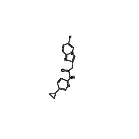 O=C(Cc1cn2cc(F)ccc2n1)Nc1ccc(C2CC2)cn1